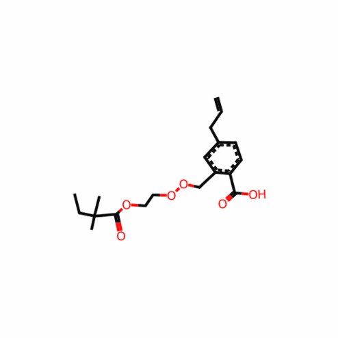 C=CCc1ccc(C(=O)O)c(COOCCOC(=O)C(C)(C)CC)c1